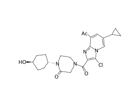 CC(=O)c1cc(C2CC2)cn2c(Cl)c(C(=O)N3CCN([C@H]4CC[C@H](O)CC4)C(=O)C3)nc12